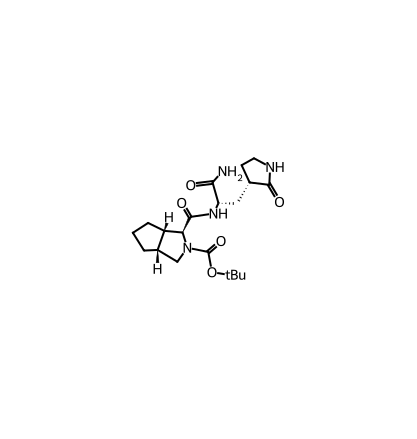 CC(C)(C)OC(=O)N1C[C@@H]2CCC[C@@H]2[C@H]1C(=O)N[C@@H](C[C@@H]1CCNC1=O)C(N)=O